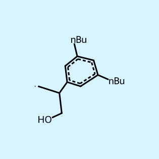 [CH2]C(CO)c1cc(CCCC)cc(CCCC)c1